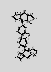 c1cc2c(-c3ccc4c(c3)oc3cc(-c5c6ccsc6cc6ccsc56)ccc34)c3occc3cc2o1